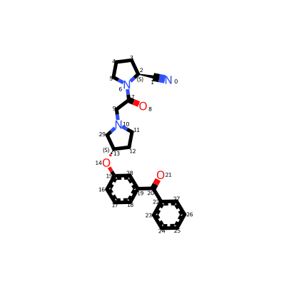 N#C[C@@H]1CCCN1C(=O)CN1CC[C@H](Oc2cccc(C(=O)c3ccccc3)c2)C1